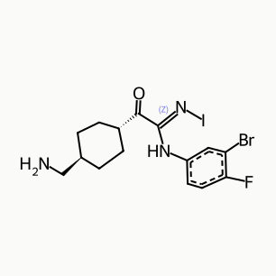 NC[C@H]1CC[C@H](C(=O)/C(=N/I)Nc2ccc(F)c(Br)c2)CC1